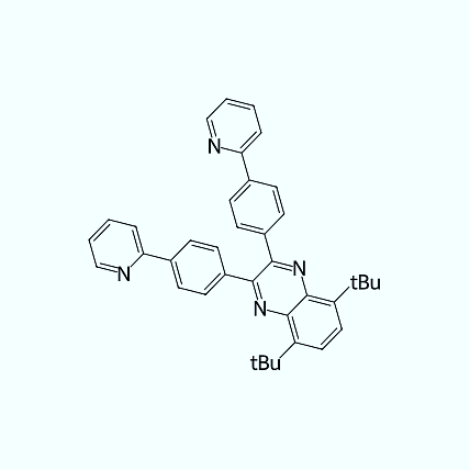 CC(C)(C)c1ccc(C(C)(C)C)c2nc(-c3ccc(-c4ccccn4)cc3)c(-c3ccc(-c4ccccn4)cc3)nc12